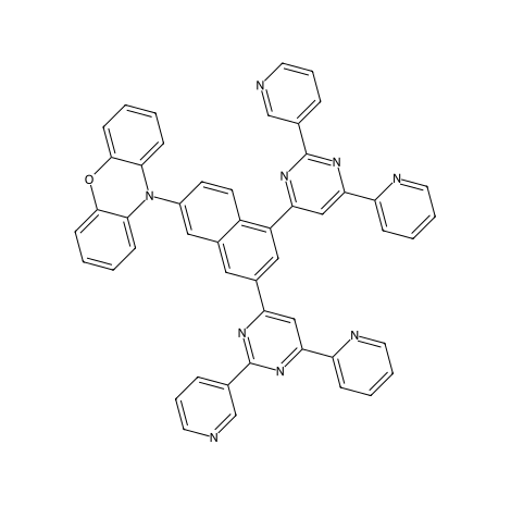 c1ccc(-c2cc(-c3cc(-c4cc(-c5ccccn5)nc(-c5cccnc5)n4)c4ccc(N5c6ccccc6Oc6ccccc65)cc4c3)nc(-c3cccnc3)n2)nc1